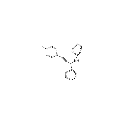 Cc1ccc(C#CC(Nc2ccccc2)c2ccccc2)cc1